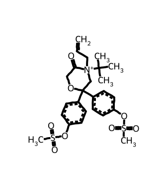 C=CC[N+]1(C(C)(C)C)CC(c2ccc(OS(C)(=O)=O)cc2)(c2ccc(OS(C)(=O)=O)cc2)OCC1=O